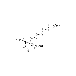 CCCCCCCCCCCCCCCCCc1n(CCCCCC)cc[n+]1CCCCC